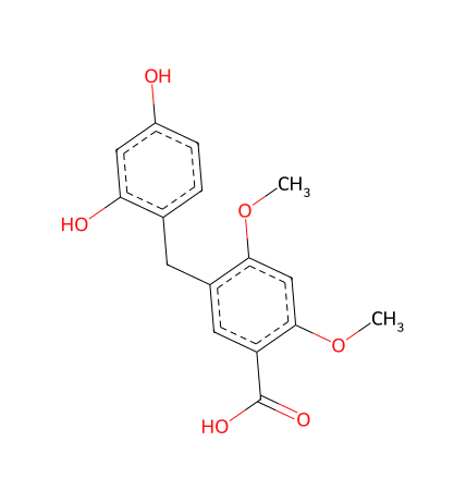 COc1cc(OC)c(C(=O)O)cc1Cc1ccc(O)cc1O